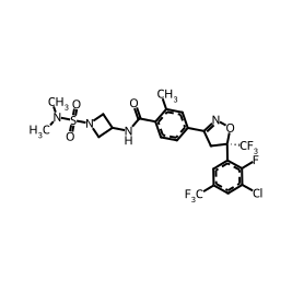 Cc1cc(C2=NO[C@](c3cc(C(F)(F)F)cc(Cl)c3F)(C(F)(F)F)C2)ccc1C(=O)NC1CN(S(=O)(=O)N(C)C)C1